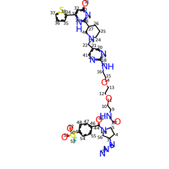 [N-]=[N+]=NC1C[C@@H](C(=O)NCCOCCOCCNc2ncc(CN3CCCC(c4nc(=O)cc(-c5cccs5)[nH]4)C3)cn2)N(C(=O)c2ccc(S(=O)(=O)F)cc2)C1